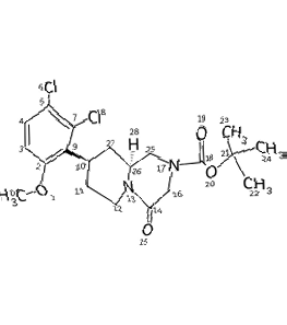 COc1ccc(Cl)c(Cl)c1[C@@H]1CCN2C(=O)CN(C(=O)OC(C)(C)C)C[C@@H]2C1